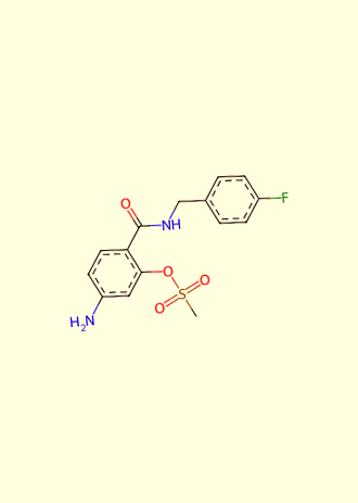 CS(=O)(=O)Oc1cc(N)ccc1C(=O)NCc1ccc(F)cc1